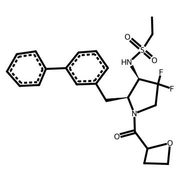 CCS(=O)(=O)N[C@@H]1[C@H](Cc2cccc(-c3ccccc3)c2)N(C(=O)C2CCO2)CC1(F)F